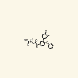 Cn1cc(-c2cc(NC(=O)CNC(=O)O)ccc2Oc2ccccc2)ccc1=O